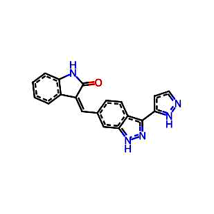 O=C1Nc2ccccc2C1=Cc1ccc2c(-c3ccn[nH]3)n[nH]c2c1